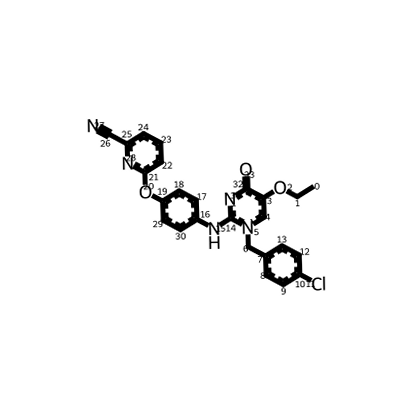 CCOc1cn(Cc2ccc(Cl)cc2)c(Nc2ccc(Oc3cccc(C#N)n3)cc2)nc1=O